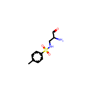 Cc1ccc(S(=O)(=O)NCC(N)C=O)cc1